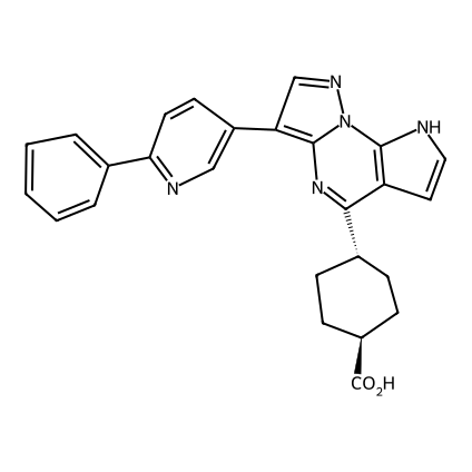 O=C(O)[C@H]1CC[C@H](c2nc3c(-c4ccc(-c5ccccc5)nc4)cnn3c3[nH]ccc32)CC1